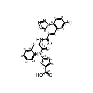 O=C(C=Cc1cc(Cl)ccc1-n1cnnn1)N[C@@H](Cc1ccccc1)C(=O)Nc1ncc(C(=O)O)s1